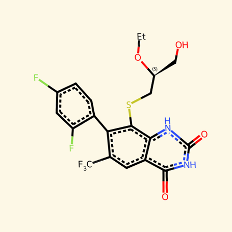 CCO[C@@H](CO)CSc1c(-c2ccc(F)cc2F)c(C(F)(F)F)cc2c(=O)[nH]c(=O)[nH]c12